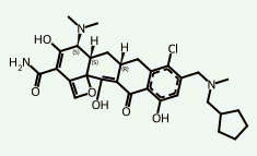 CN(Cc1cc(O)c2c(c1Cl)C[C@H]1C[C@H]3[C@H](N(C)C)C(O)=C(C(N)=O)C4=COC43C(O)=C1C2=O)CC1CCCC1